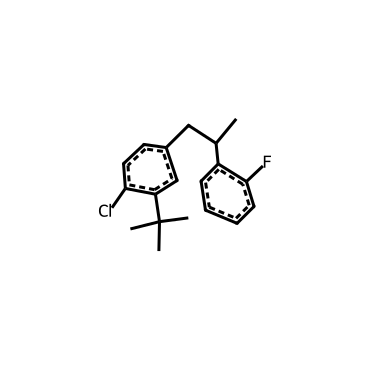 CC(Cc1ccc(Cl)c(C(C)(C)C)c1)c1ccccc1F